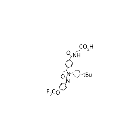 CC(C)(C)C1CCC(N2C(=Nc3ccc(OC(F)(F)F)cc3)OCC2c2ccc(C(=O)NCCC(=O)O)cc2)CC1